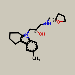 Cc1ccc2c(c1)c1c(n2C[C@@H](O)CNC[C@@H]2CCCO2)CCCC1